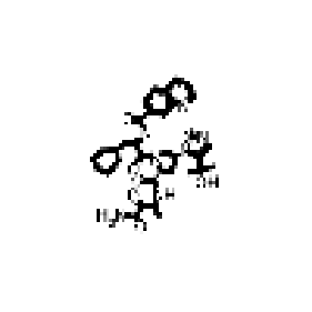 CC(NC(=O)[C@@H]1C[C@H](n2nncc2C(C)(C)O)CN1C(=O)/C(CC1CCCCC1)=N/C(=O)c1ccc2cccnc2c1)C(=O)C(N)=O